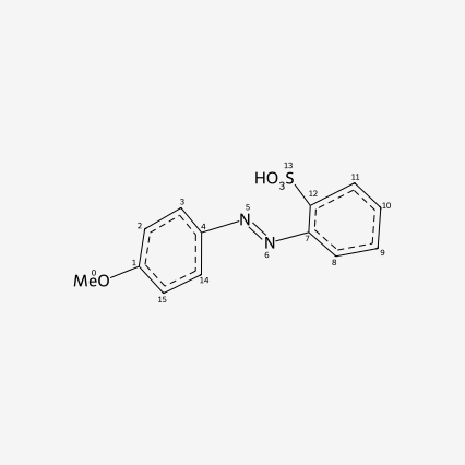 COc1ccc(N=Nc2ccccc2S(=O)(=O)O)cc1